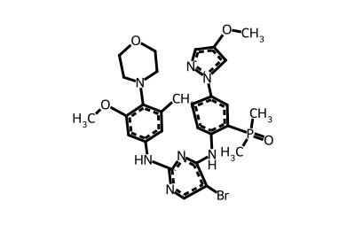 COc1cnn(-c2ccc(Nc3nc(Nc4cc(C)c(N5CCOCC5)c(OC)c4)ncc3Br)c(P(C)(C)=O)c2)c1